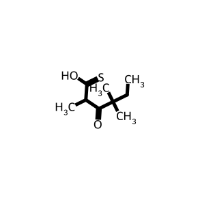 CCC(C)(C)C(=O)C(C)C(O)=S